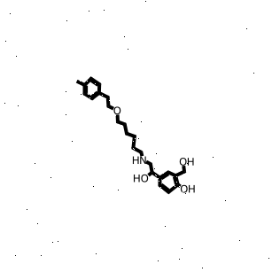 Cc1ccc(CCOCCCCCCNCC(O)c2ccc(O)c(CO)c2)cc1